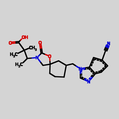 CC(N1CC2(CCCC(Cn3cnc4ccc(C#N)cc43)C2)OC1=O)C(C)(C)C(=O)O